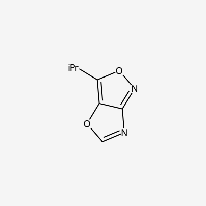 CC(C)c1onc2ncoc12